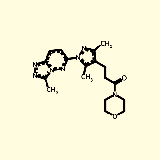 Cc1nn(-c2ccc3nnc(C)n3n2)c(C)c1CCC(=O)N1CCOCC1